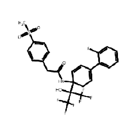 CS(=O)(=O)c1ccc(CC(=O)NC2(C(O)(C(F)(F)F)C(F)(F)F)C=CC(c3ccccc3F)=CC2)cc1